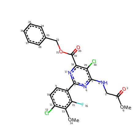 COC(=O)CNc1nc(-c2ccc(Cl)c(OC)c2F)nc(C(=O)OCc2ccccc2)c1Cl